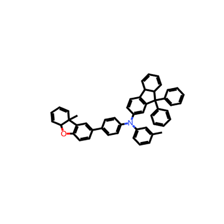 Cc1cccc(N(c2ccc(-c3ccc4c(c3)C3(C)C=CC=CC3O4)cc2)c2ccc3c(c2)C(c2ccccc2)(c2ccccc2)C2C=CC=CC32)c1